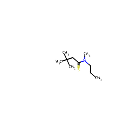 CCCN(C)C(=S)CC(C)(C)C